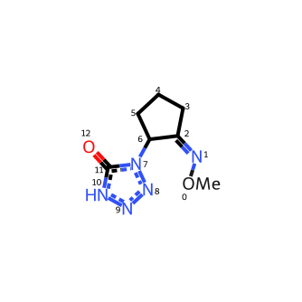 CON=C1CCCC1n1nn[nH]c1=O